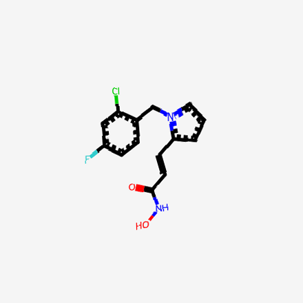 O=C(/C=C/c1cccn1Cc1ccc(F)cc1Cl)NO